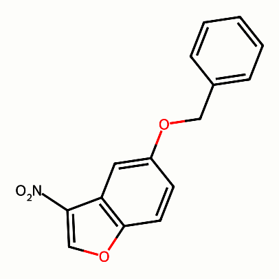 O=[N+]([O-])c1coc2ccc(OCc3ccccc3)cc12